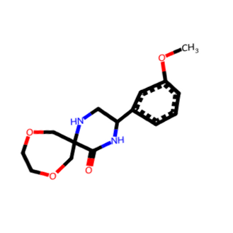 COc1cccc(C2CNC3(COCCOC3)C(=O)N2)c1